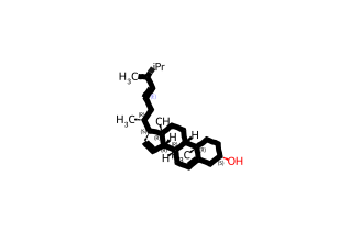 CC(C)C(C)/C=C/C[C@@H](C)[C@H]1C=C[C@H]2[C@@H]3CC=C4C[C@@H](O)CC[C@]4(C)[C@H]3CC[C@]12C